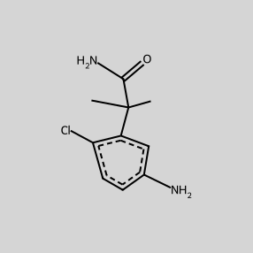 CC(C)(C(N)=O)c1cc(N)ccc1Cl